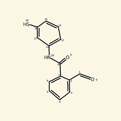 O=Cc1ccccc1C(=O)Nc1cccc(S)c1